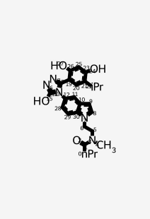 CCCC(=O)N(C)CCn1ccc2cc(-n3c(O)nnc3-c3cc(C(C)C)c(O)cc3O)ccc21